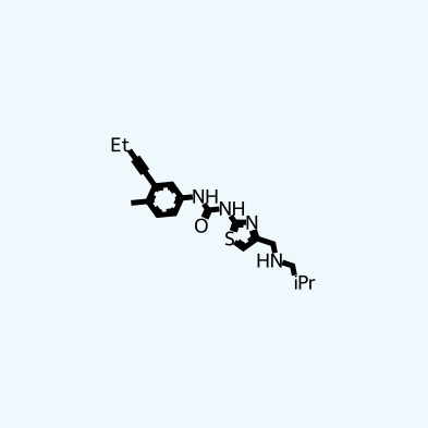 CCC#Cc1cc(NC(=O)Nc2nc(CNCC(C)C)cs2)ccc1C